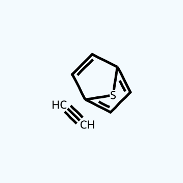 C#C.c1cc2ccc1s2